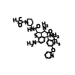 CC(=O)N1CCCC(NC(=O)C2Sc3c(N)ccc4c3C2C(N)C(=O)C4(N)c2ccc(Oc3ccccn3)cc2C)C1